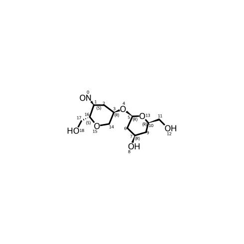 O=N[C@H]1C[C@@H](O[C@@H]2C[C@H](O)C[C@H](CO)O2)CO[C@@H]1CO